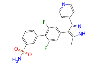 Cc1[nH]nc(-c2ccncc2)c1-c1cc(F)c(-c2cccc(S(N)(=O)=O)c2)c(F)c1